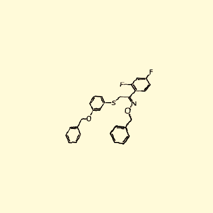 Fc1ccc(/C(CSc2cccc(OCc3ccccc3)c2)=N/OCc2ccccc2)c(F)c1